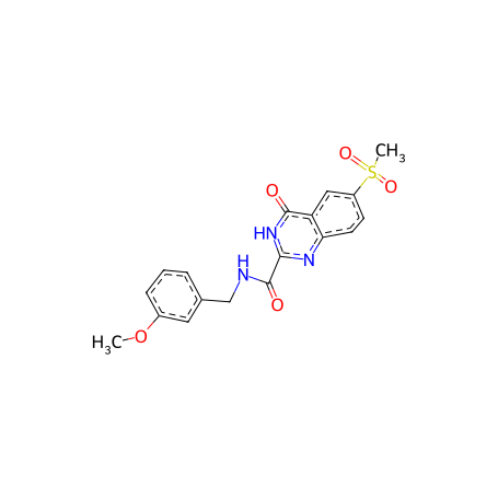 COc1cccc(CNC(=O)c2nc3ccc(S(C)(=O)=O)cc3c(=O)[nH]2)c1